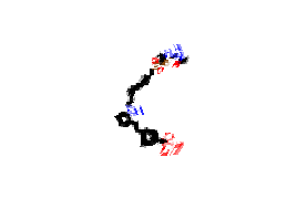 CC(=O)Nc1nc(C)c(S(=O)(=O)CCCCCCCNc2ccccc2CCc2ccc(C(=O)O)cc2)s1